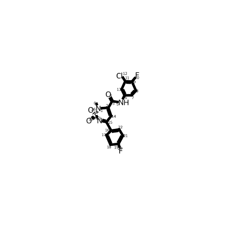 CN1C(C(=O)Nc2ccc(F)c(Cl)c2)=CC(c2ccc(F)cc2)=NS1(=O)=O